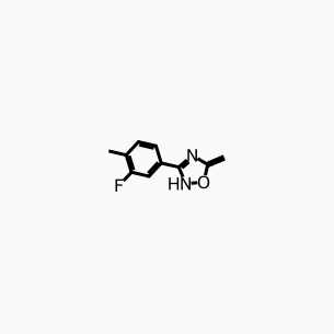 C=C1N=C(c2ccc(C)c(F)c2)NO1